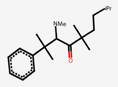 CNC(C(=O)C(C)(C)CCC(C)C)C(C)(C)c1ccccc1